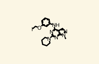 Cn1ncc2c(Nc3cccc(OCI)c3)nc(N3CCCCC3)nc21